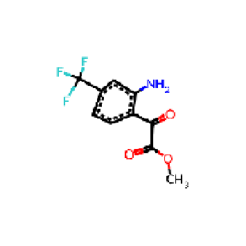 COC(=O)C(=O)c1ccc(C(F)(F)F)cc1N